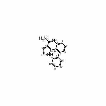 Nc1nc2cccc(-c3ccccc3)c2c2[nH]cnc12